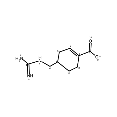 N=C(N)NCC1CC=C(C(=O)O)CC1